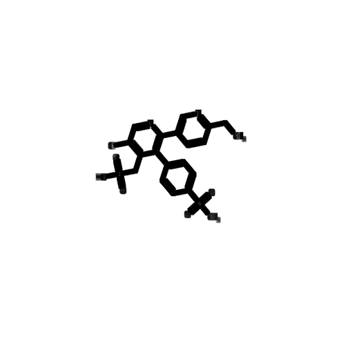 CCc1ccc(-c2ncc(Cl)c(CS(=O)(=O)O)c2-c2ccc(S(C)(=O)=O)cc2)cn1